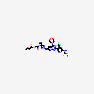 C/C=C/C(=O)NCC(=O)N1CCC12CN(Cc1cc3c(N4CCOCC4)nc(-c4cnc(NC(=O)OC)cc4C(F)(F)F)nn3c1)C2